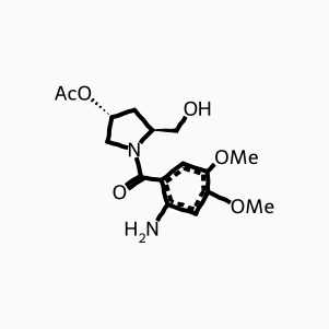 COc1cc(N)c(C(=O)N2C[C@H](OC(C)=O)C[C@H]2CO)cc1OC